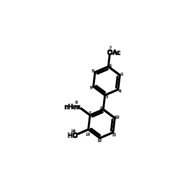 CCCCCCc1c(-c2ccc(OC(C)=O)cc2)[c]ccc1O